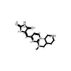 CN(CC1CCNCC1)c1nccc(/C=C2/SC(=O)NC2=O)n1